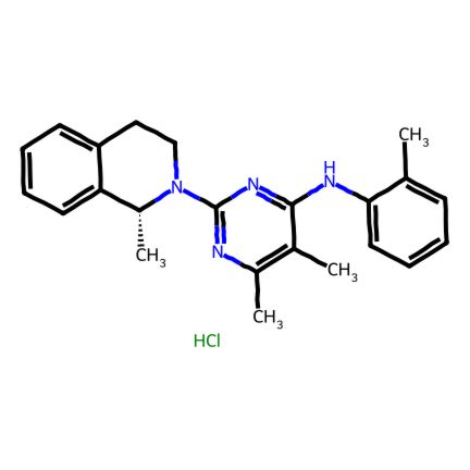 Cc1ccccc1Nc1nc(N2CCc3ccccc3[C@H]2C)nc(C)c1C.Cl